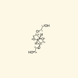 OCCO[C@H]1CO[C@H]2[C@H]1OC[C@H]2OCCO